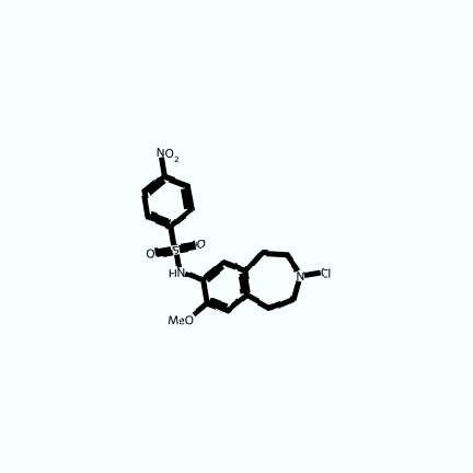 COc1cc2c(cc1NS(=O)(=O)c1ccc([N+](=O)[O-])cc1)CCN(Cl)CC2